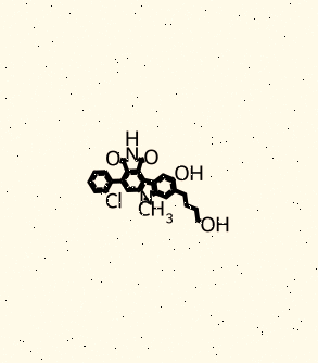 Cn1c2cc(CCCCO)c(O)cc2c2c3c(c(-c4ccccc4Cl)cc21)C(=O)NC3=O